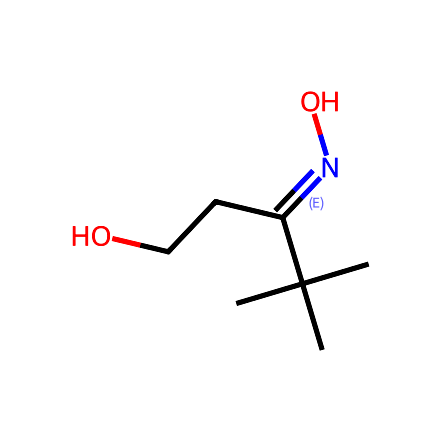 CC(C)(C)/C(CCO)=N/O